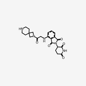 O=C1CCC(N2C(=O)c3cccc(NCC(=O)N4CC5(CCNCC5)C4)c3C2=O)C(=O)N1